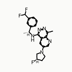 Cc1nnc(N[C@H](C)c2cccc(C(F)F)c2)c2cc(N3CC[C@@H](F)C3)cnc12